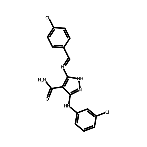 NC(=O)c1c(Nc2cccc(Cl)c2)n[nH]c1/N=C/c1ccc(Cl)cc1